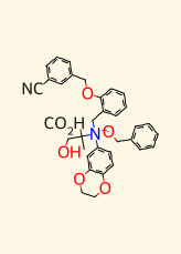 CC(CO)(C(=O)O)[N+](Cc1ccccc1OCc1cccc(C#N)c1)(OCc1ccccc1)c1ccc2c(c1)OCCO2